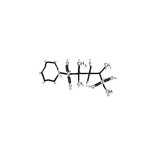 CC(C(F)(F)C(C)(C)S(=O)(=O)N1CCCCC1)S(=O)(=O)O